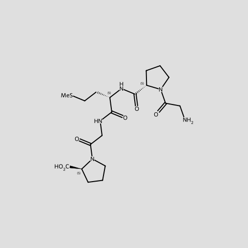 CSCC[C@H](NC(=O)[C@@H]1CCCN1C(=O)CN)C(=O)NCC(=O)N1CCC[C@H]1C(=O)O